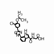 CC(C)Oc1ccc(-c2nc(-c3cccc4c(C(=O)NCC(=O)O)c[nH]c34)no2)cc1Cl